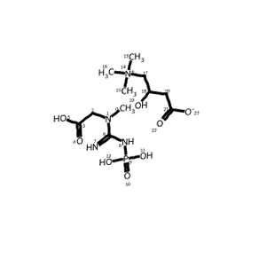 CN(CC(=O)O)C(=N)NP(=O)(O)O.C[N+](C)(C)CC(O)CC(=O)[O-]